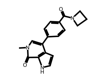 Cn1cc(-c2ccc(C(=O)N3CCC3)cc2)c2cc[nH]c2c1=O